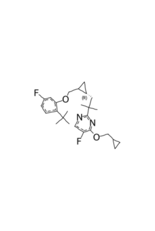 CC(C)(C)c1ccc(F)cc1OCC1C[C@@H]1CC(C)(C)c1ncc(F)c(OCC2CC2)n1